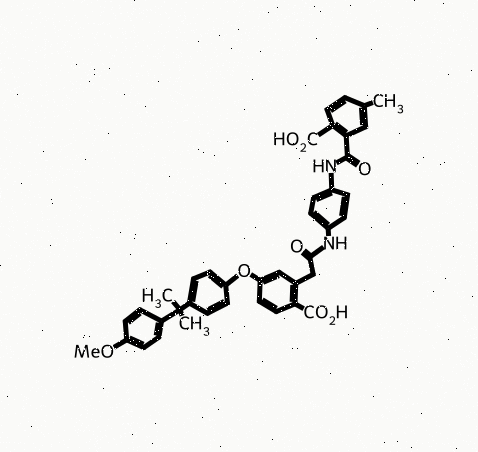 COc1ccc(C(C)(C)c2ccc(Oc3ccc(C(=O)O)c(CC(=O)Nc4ccc(NC(=O)c5cc(C)ccc5C(=O)O)cc4)c3)cc2)cc1